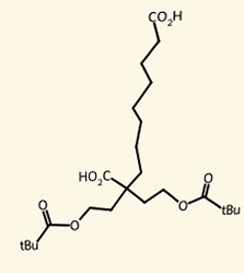 CC(C)(C)C(=O)OCCC(CCCCCCCC(=O)O)(CCOC(=O)C(C)(C)C)C(=O)O